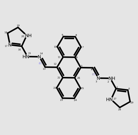 C1=C(N/N=C/c2c3ccccc3c(/C=N/NC3=NCCN3)c3ccccc23)NCC1